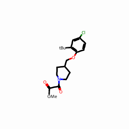 COC(=O)C(=O)N1CCC(COc2ccc(Cl)cc2C(C)(C)C)CC1